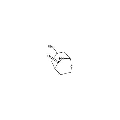 CC(C)(C)N1CC2CCCC(C1)C(=O)N2